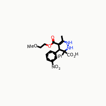 COCCOC(=O)C1=C(C)NNC(C(=O)O)(C(C)C)C1c1cccc([N+](=O)[O-])c1